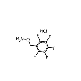 Cl.NOCc1c(F)c(F)c(F)c(F)c1F